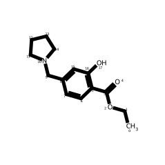 CCOC(=O)c1ccc(CN2CCCC2)cc1O